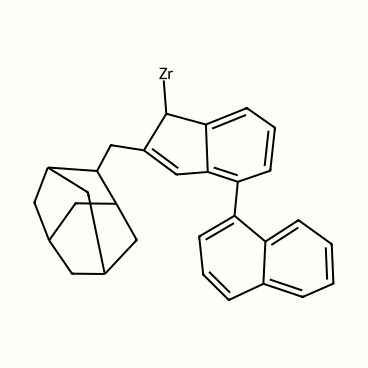 [Zr][CH]1C(CC2C3CC4CC(C3)CC2C4)=Cc2c(-c3cccc4ccccc34)cccc21